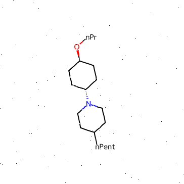 CCCCCC1CCN([C@H]2CC[C@H](OCCC)CC2)CC1